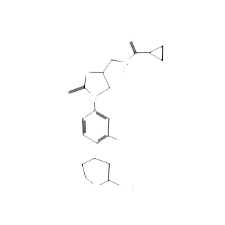 O=C(NCC1CN(c2ccc([C@H]3CCSC(O)C3)c(F)c2)C(=O)O1)C1CC1